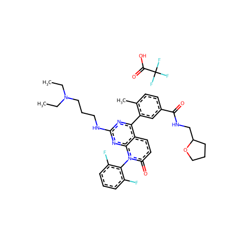 CCN(CC)CCCNc1nc(-c2cc(C(=O)NCC3CCCO3)ccc2C)c2ccc(=O)n(-c3c(F)cccc3F)c2n1.O=C(O)C(F)(F)F